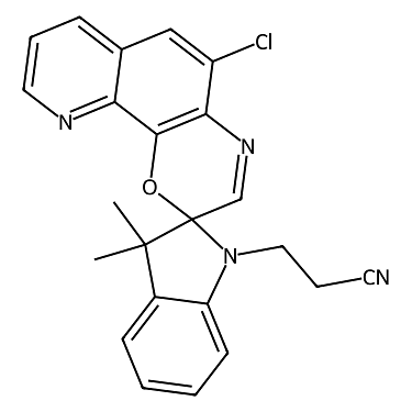 CC1(C)c2ccccc2N(CCC#N)C12C=Nc1c(Cl)cc3cccnc3c1O2